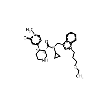 CCOCCCn1cc(CN(C(=O)[C@@H]2CNCC[C@H]2c2ccn(C)c(=O)c2)C2CC2)c2ccccc21